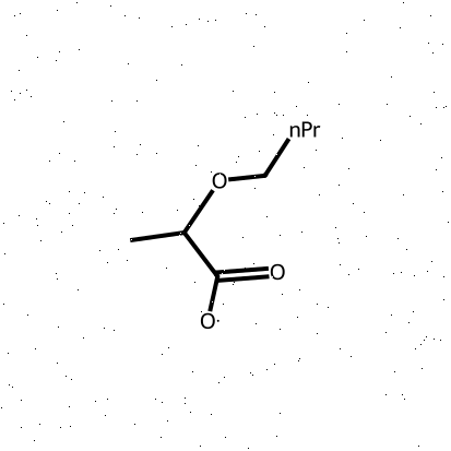 CCCCOC(C)C([O])=O